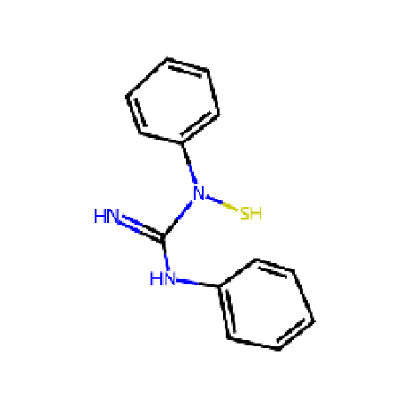 N=C(Nc1ccccc1)N(S)c1ccccc1